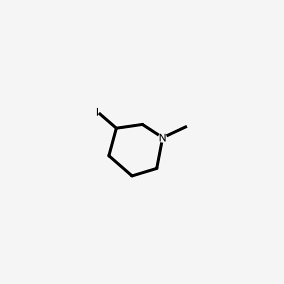 CN1CCCC(I)C1